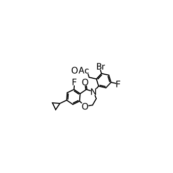 CC(=O)OCc1c(Br)cc(F)cc1N1CCOc2cc(C3CC3)cc(F)c2C1=O